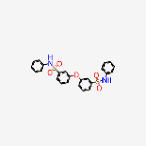 O=S(=O)(Nc1ccccc1)c1cccc(Oc2cccc(S(=O)(=O)Nc3ccccc3)c2)c1